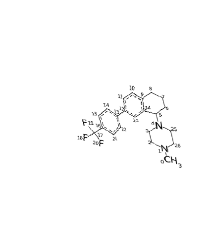 CN1CCN(C2CCCc3ccc(-c4ccc(C(F)(F)F)cc4)cc32)CC1